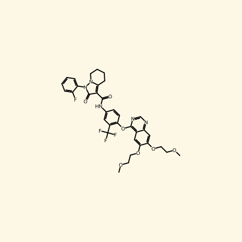 COCCOc1cc2ncnc(Oc3ccc(NC(=O)c4c5n(n(-c6ccccc6F)c4=O)CCCC5)cc3C(F)(F)F)c2cc1OCCOC